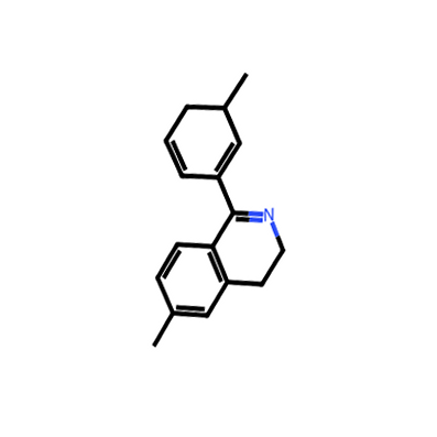 Cc1ccc2c(c1)CCN=C2C1=CC(C)CC=C1